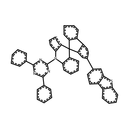 c1ccc(-c2nc(-c3ccccc3)nc(N3c4ccccc4C4(c5ccccc5-c5ccc(-c6ccc7c(c6)sc6ccccc67)cc54)c4ccccc43)n2)cc1